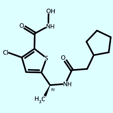 C[C@H](NC(=O)CC1CCCC1)c1cc(Cl)c(C(=O)NO)s1